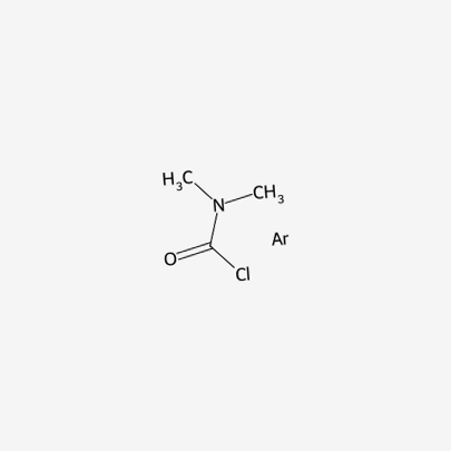 CN(C)C(=O)Cl.[Ar]